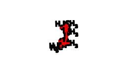 CC1=CC2=Nc3cc(C)c(N)cc3N(c3ccccc3)C2C=C1OC(=O)CCCCCCC(=O)Oc1cc2c(cc1C)nc1cc(C)c(N)cc1[n+]2-c1ccccc1